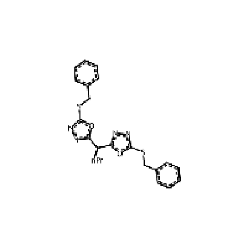 CCCC(c1nnc(SCc2ccccc2)o1)c1nnc(SCc2ccccc2)o1